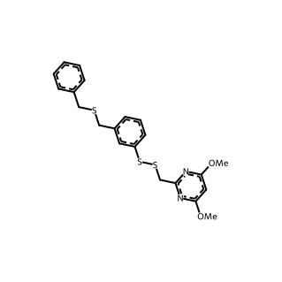 COc1cc(OC)nc(CSSc2cccc(CSCc3ccccc3)c2)n1